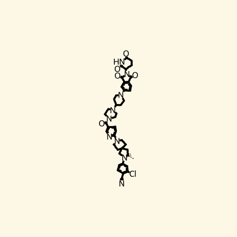 C[C@H]1CC2(CCN(c3ccc(C(=O)N4CCN(C5CCN(c6ccc7c(c6)C(=O)N(C6CCC(=O)NC6=O)C7=O)CC5)CC4)cn3)CC2)CN1c1ccc(C#N)c(Cl)c1